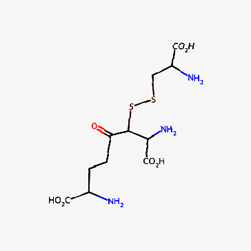 NC(CCC(=O)C(SSCC(N)C(=O)O)C(N)C(=O)O)C(=O)O